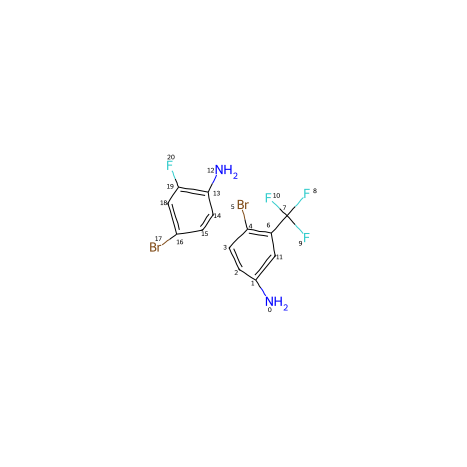 Nc1ccc(Br)c(C(F)(F)F)c1.Nc1ccc(Br)cc1F